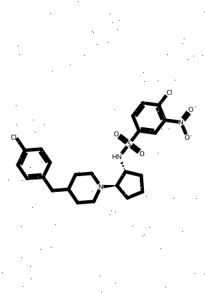 O=[N+]([O-])c1cc(S(=O)(=O)N[C@@H]2CCC[C@H]2N2CCC(Cc3ccc(Cl)cc3)CC2)ccc1Cl